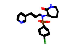 O=C1NCCCC[C@H]1N(CC=Cc1cccnc1)S(=O)(=O)c1ccc(Cl)cc1